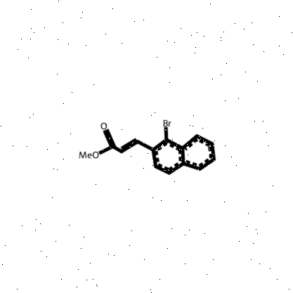 COC(=O)/C=C/c1ccc2ccccc2c1Br